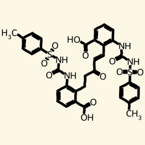 Cc1ccc(S(=O)(=O)NC(=O)Nc2cccc(C(=O)O)c2C=CC(=O)CCc2c(NC(=O)NS(=O)(=O)c3ccc(C)cc3)cccc2C(=O)O)cc1